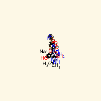 CCC(C)Nc1ncc(N(C(N)=O)C(C(=O)NC2C(=O)N3C(C(=O)[O-])=C(CSc4ncns4)CS[C@H]23)c2ccc(O)cc2)c(O)n1.[Na+]